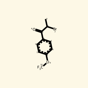 CC(Br)C(=O)c1ccc(OC(F)(F)F)cc1